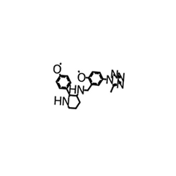 COc1ccc(C2NCCCC2NCc2cc(-n3nnnc3C)ccc2OC)cc1